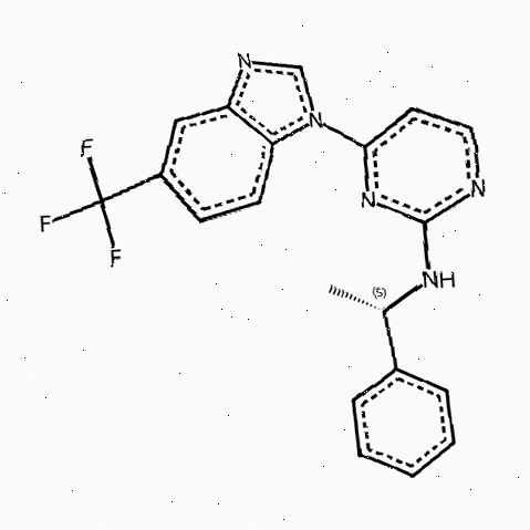 C[C@H](Nc1nccc(-n2cnc3cc(C(F)(F)F)ccc32)n1)c1ccccc1